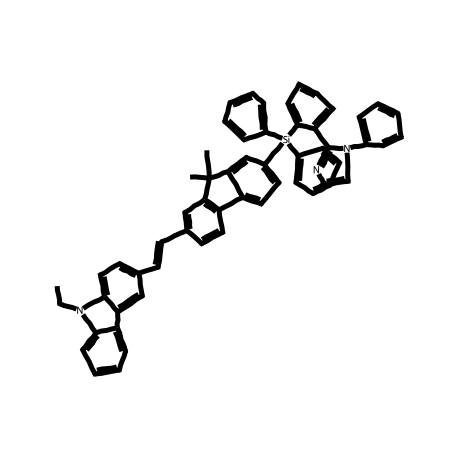 CCn1c2ccccc2c2cc(/C=C/c3ccc4c(c3)C(C)(C)c3cc([Si](c5ccccc5)(c5ccccc5)c5ccccc5-c5nccn5-c5ccccc5)ccc3-4)ccc21